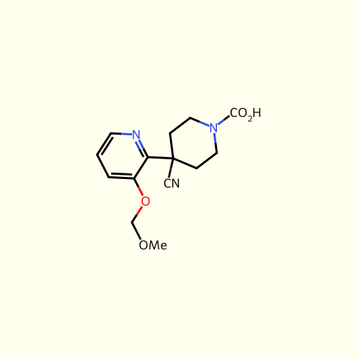 COCOc1cccnc1C1(C#N)CCN(C(=O)O)CC1